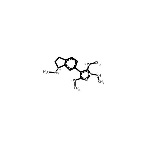 CNc1nn(NC)c(NC)c1-c1ccc2c(c1)[C@@H](NC)CC2